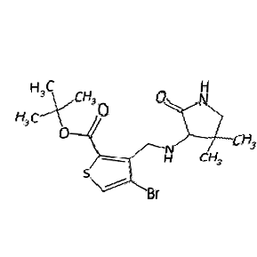 CC(C)(C)OC(=O)c1scc(Br)c1CNC1C(=O)NCC1(C)C